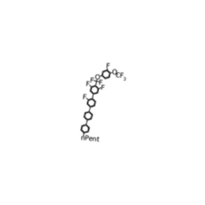 CCCCCc1ccc(-c2ccc(-c3ccc(-c4cc(F)c(C(F)(F)Oc5ccc(OC(F)(F)F)c(F)c5)c(F)c4)c(F)c3)cc2)cc1